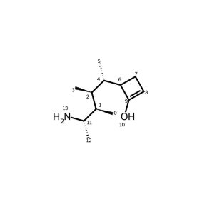 C[C@H]([C@@H](C)[C@H](C)C1CC=C1O)[C@H](C)N